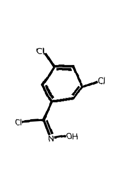 O/N=C(/Cl)c1cc(Cl)cc(Cl)c1